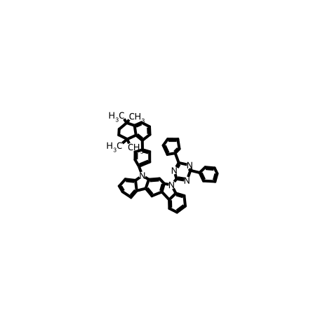 CC1(C)CCC(C)(C)c2c(-c3ccc(-n4c5ccccc5c5cc6c7ccccc7n(-c7nc(-c8ccccc8)nc(-c8ccccc8)n7)c6cc54)cc3)cccc21